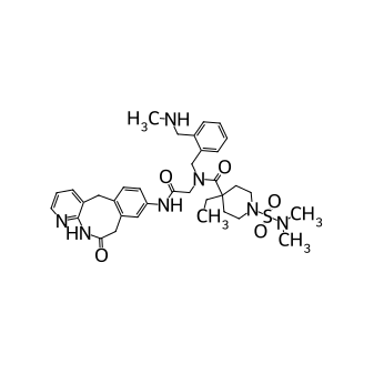 CCC1(C(=O)N(CC(=O)Nc2ccc3c(c2)CC(=O)Nc2ncccc2C3)Cc2ccccc2CNC)CCN(S(=O)(=O)N(C)C)CC1